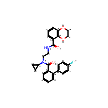 O=C(NCCN(C(=O)c1ccccc1-c1ccc(F)cc1)C1CC1)c1cccc2c1OCCO2